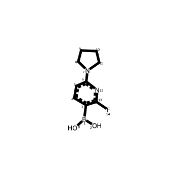 OB(O)c1ccc(N2CCCC2)nc1F